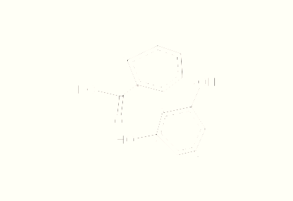 O=C(O)c1ccccc1.Oc1cccc(O)c1